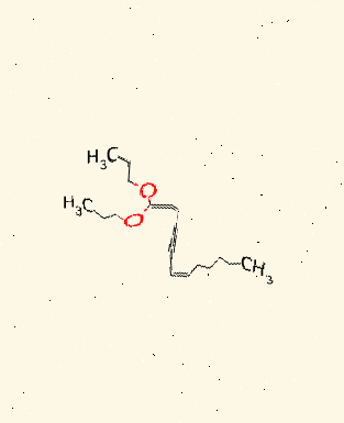 CCCCC/C=C\C#CC=C(OCCC)OCCC